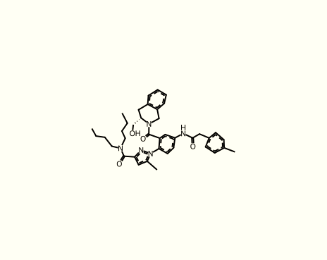 CCCCN(CCCC)C(=O)c1cc(C)n(-c2ccc(NC(=O)Cc3ccc(C)cc3)cc2C(=O)N2Cc3ccccc3C[C@H]2CO)n1